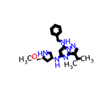 COC[C@H]1C[C@@H](Nc2cc(NCc3ccccc3)n3ncc(C(C)C)c3n2)CN1